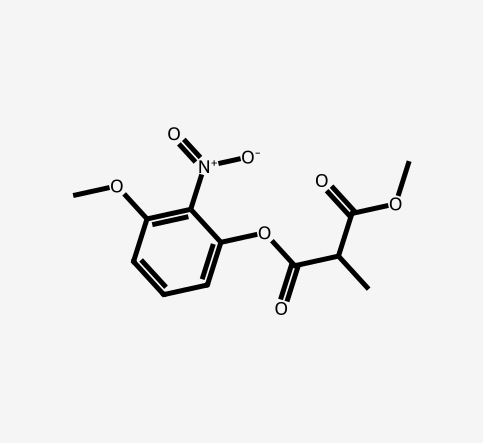 COC(=O)C(C)C(=O)Oc1cccc(OC)c1[N+](=O)[O-]